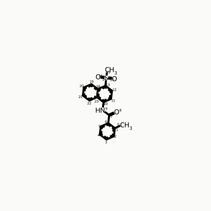 Cc1ccccc1C(=O)Nc1ccc(S(C)(=O)=O)c2ccccc12